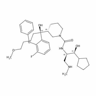 CNC[C@@H](NC(=O)N1CCC[C@@H]([C@@](O)(CCCCOC)c2cccc(F)c2Oc2ccccc2)C1)[C@@H](O)C1CCCC1